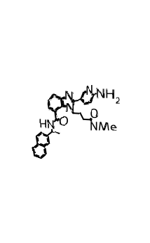 CNC(=O)CCCn1c(-c2ccc(N)nc2)nc2cccc(C(=O)N[C@@H](C)c3ccc4ccccc4c3)c21